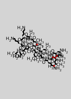 CC[C@H](C)[C@H](NC(=O)[C@H](CCCCN)NC(=O)[C@H](CCCCN)NC(=O)[C@H](C)NC(=O)[C@@H](NC(=O)[C@H](C)NC(=O)[C@H](CC(C)C)NC(=O)[C@H](CC(C)C)NC(=O)[C@H](C)NC(=O)[C@H](CCCCN)NC(=O)[C@H](CC(C)C)NC(=O)[C@H](CC(N)=O)NC(=O)[C@@H](N)CC(C)C)C(C)C)C(=O)N[C@@H](CC(C)C)C(N)=O